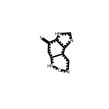 S=c1cc2[nH]cncc-2c2nc[nH]c12